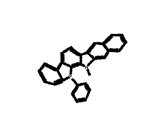 Cn1c2cc3ccccc3cc2c2ccc3c4ccccc4p(-c4ccccc4)c3c21